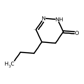 CCCC1[C]=NNC(=O)C1